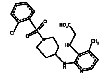 Cc1ccnc(NC2CCN(S(=O)(=O)c3ccccc3Cl)CC2)c1NCC(=O)O